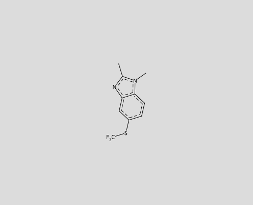 Cc1nc2cc(SC(F)(F)F)ccc2n1C